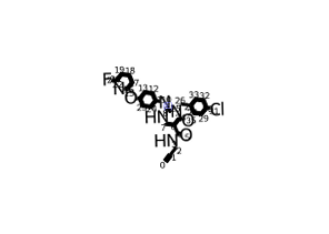 C#CCNC(=O)c1c[nH]/c(=N\c2ccc(Oc3cccc(F)n3)cc2)n(Cc2ccc(Cl)cc2)c1=O